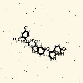 Cc1cc(Cl)ccc1NC(=O)N[C@@H]1Oc2ccc(Oc3ccnc4c3CCC(=O)N4)cc2[C@@H]1C